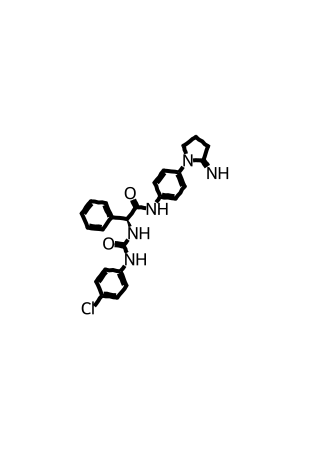 N=C1CCCN1c1ccc(NC(=O)[C@@H](NC(=O)Nc2ccc(Cl)cc2)c2ccccc2)cc1